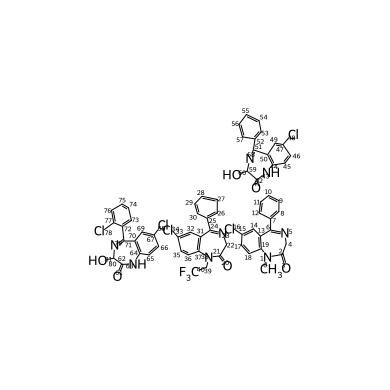 CN1C(=O)CN=C(c2ccccc2)c2cc(Cl)ccc21.O=C1CN=C(c2ccccc2)c2cc(Cl)ccc2N1CC(F)(F)F.O=C1Nc2ccc(Cl)cc2C(c2ccccc2)=NC1O.O=C1Nc2ccc(Cl)cc2C(c2ccccc2Cl)=NC1O